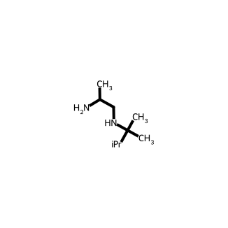 CC(N)CNC(C)(C)C(C)C